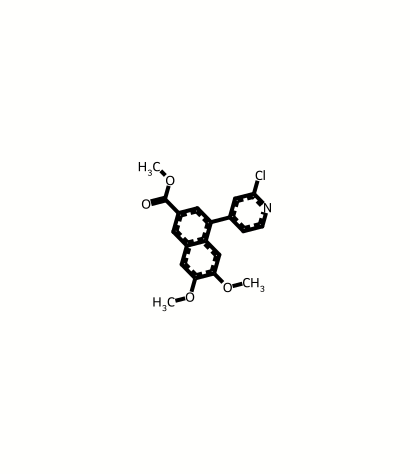 COC(=O)c1cc(-c2ccnc(Cl)c2)c2cc(OC)c(OC)cc2c1